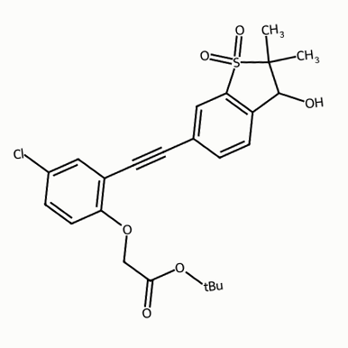 CC(C)(C)OC(=O)COc1ccc(Cl)cc1C#Cc1ccc2c(c1)S(=O)(=O)C(C)(C)C2O